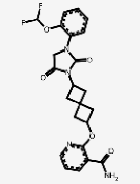 NC(=O)c1cccnc1OC1CC2(C1)CC(N1C(=O)CN(c3ccccc3OC(F)F)C1=O)C2